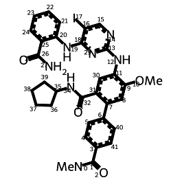 CNC(=O)c1ccc(-c2cc(OC)c(Nc3ncc(I)c(Nc4ccccc4C(N)=O)n3)cc2C(=O)NC2CCCC2)cc1